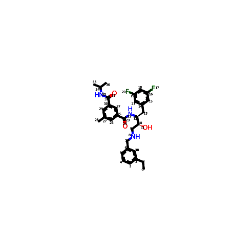 CCc1cccc(CNC[C@@H](O)[C@H](Cc2cc(F)cc(F)c2)NC(=O)c2cc(C)cc(C(=O)NC(C)C)c2)c1